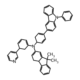 CC1(C)C2=CC(N(C3=CC=CC(c4cccnc4)C3)C3C=CC(c4ccc5c(c4)c4ccccc4n5-c4ccccc4)=CC3)=CCC2c2ccccc21